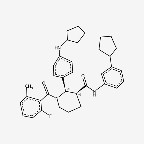 Cc1cccc(F)c1C(=O)N1CCC[C@H](C(=O)Nc2cccc(C3CCCC3)c2)[C@@H]1c1ccc(NC2CCCC2)cc1